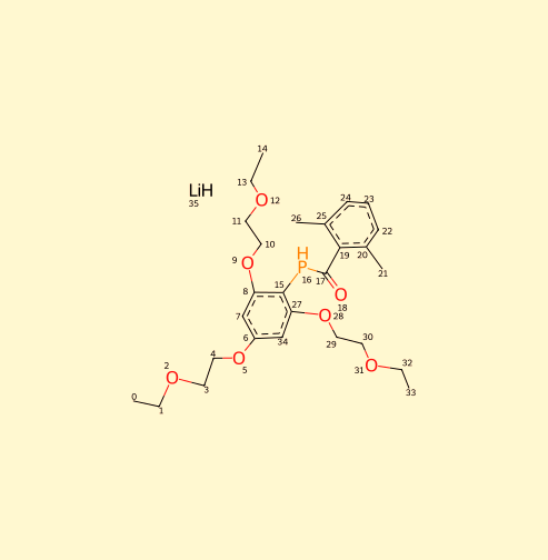 CCOCCOc1cc(OCCOCC)c(PC(=O)c2c(C)cccc2C)c(OCCOCC)c1.[LiH]